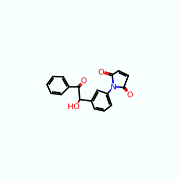 O=C(c1ccccc1)C(O)c1cccc(N2C(=O)C=CC2=O)c1